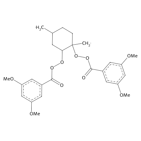 [CH2]C1CCC([CH2])(OOC(=O)c2cc(OC)cc(OC)c2)C(OOC(=O)c2cc(OC)cc(OC)c2)C1